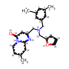 Cc1cc(C)cc(CN(Cc2cc(=O)n3ccc(C)cc3n2)Cc2cc#co2)c1